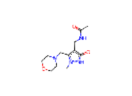 CC(=O)NCc1c(CN2CCOCC2)n(C)[nH]c1=O